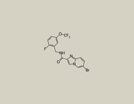 O=C(NCc1cc(OC(F)(F)F)ccc1F)c1cn2cc(Br)ccc2n1